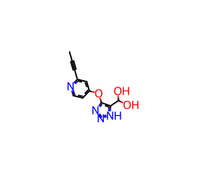 CC#Cc1cc(Oc2nn[nH]c2C(O)O)ccn1